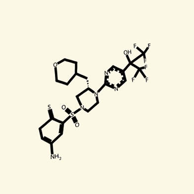 NC1=CCC(=S)C(S(=O)(=O)N2CCN(c3ncc(C(O)(C(F)(F)F)C(F)(F)F)cn3)[C@@H](CC3CCOCC3)C2)=C1